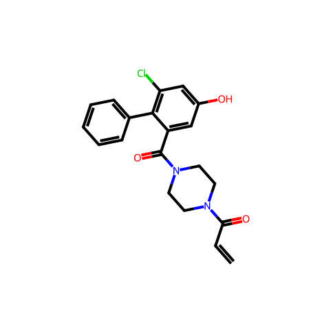 C=CC(=O)N1CCN(C(=O)c2cc(O)cc(Cl)c2-c2ccccc2)CC1